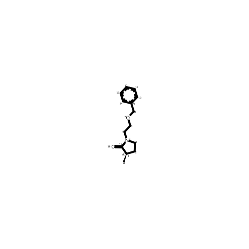 C[C@@H]1CCN(CCOCc2ccccc2)C1=O